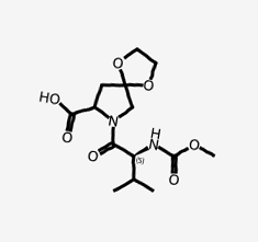 COC(=O)N[C@H](C(=O)N1CC2(CC1C(=O)O)OCCO2)C(C)C